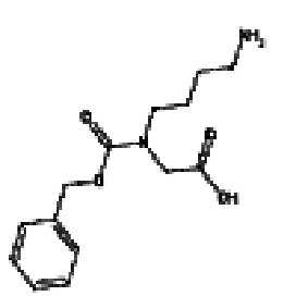 NCCCCN(CC(=O)O)C(=O)OCc1ccccc1